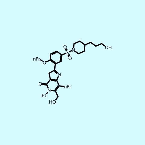 CCCOc1ccc(S(=O)(=O)N2CCC(CCCO)CC2)cc1C1=Nc2c(CCC)c(CO)n(CC)c(=O)c2C1